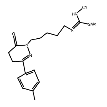 CSC(=NCCCCCN1N=C(c2ccc(C)cc2)CCC1=O)NC#N